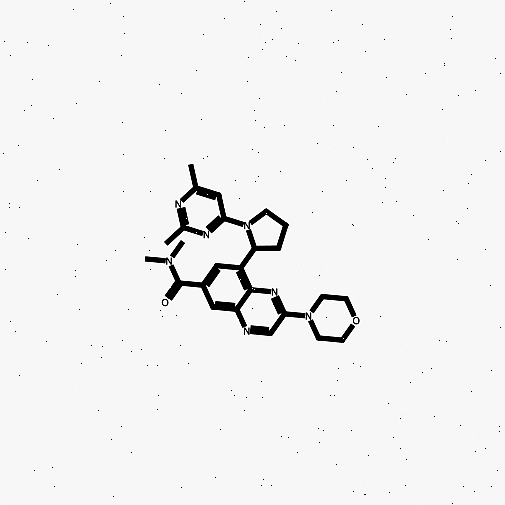 Cc1cc(N2CCCC2c2cc(C(=O)N(C)C)cc3ncc(N4CCOCC4)nc23)nc(C)n1